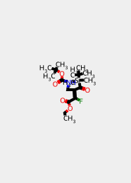 CCOC(=O)/C(F)=C(\CNC(=O)OC(C)(C)C)C(=O)[Si](C)(C)C(C)(C)C